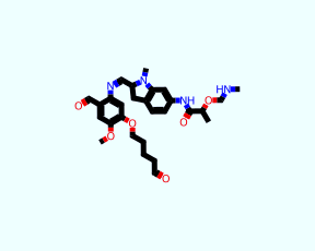 CNCOC(C)C(=O)Nc1ccc2c(c1)N(C)C(/C=N\c1cc(OCCCCC=O)c(OC)cc1C=O)C2